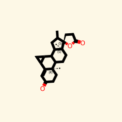 CC1CC2C3C4CC4C4=CC(=O)CC[C@]4(C)C3CC[C@]2(C)[C@]12CCC(=O)O2